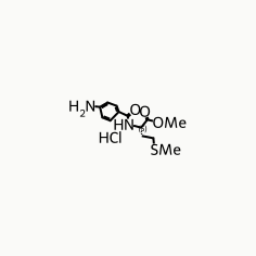 COC(=O)[C@H](CCSC)NC(=O)c1ccc(N)cc1.Cl